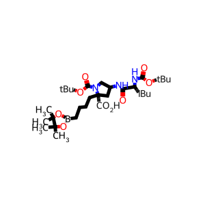 CCC(C)C(NC(=O)OC(C)(C)C)C(=O)NC1CN(C(=O)OC(C)(C)C)C(CCCCB2OC(C)(C)C(C)(C)O2)(C(=O)O)C1